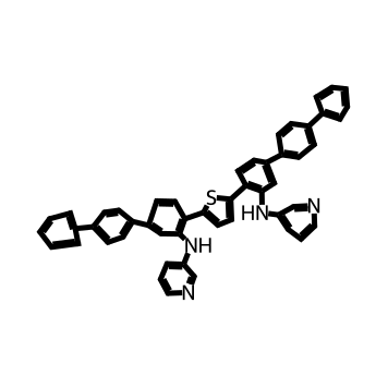 c1ccc(-c2ccc(-c3ccc(-c4ccc(-c5ccc(-c6ccc(-c7ccccc7)cc6)cc5Nc5cccnc5)s4)c(Nc4cccnc4)c3)cc2)cc1